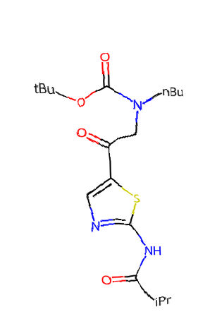 CCCCN(CC(=O)c1cnc(NC(=O)C(C)C)s1)C(=O)OC(C)(C)C